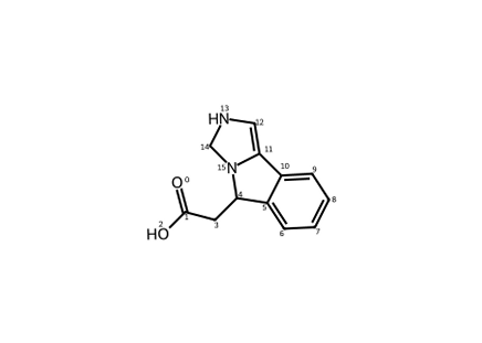 O=C(O)CC1c2ccccc2C2=CNCN21